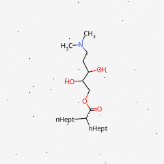 CCCCCCCC(CCCCCCC)C(=O)OCC(O)C(O)CCN(C)C